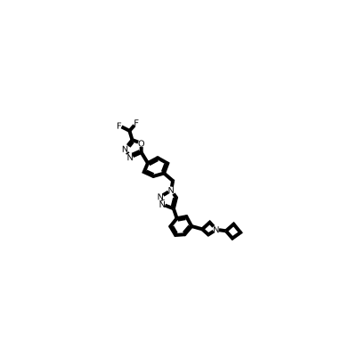 FC(F)c1nnc(-c2ccc(Cn3cc(-c4cccc(C5CN(C6CCC6)C5)c4)nn3)cc2)o1